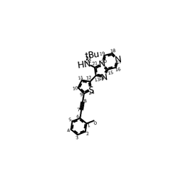 Cc1ccccc1C#Cc1ccc(-c2nc3cnccn3c2NC(C)(C)C)s1